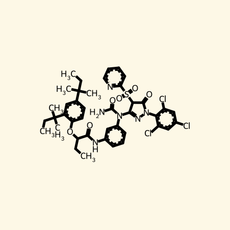 CCC(Oc1ccc(C(C)(C)CC)cc1C(C)(C)CC)C(=O)Nc1cccc(N(C(N)=O)C2=NN(c3c(Cl)cc(Cl)cc3Cl)C(=O)C2S(=O)(=O)c2ccccn2)c1